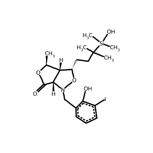 C[C@@H]1OC(=O)[C@@H]2[C@H]1[C@H](CCC(C)(C)[Si](C)(C)O)ON2Cc1cccc(I)c1O